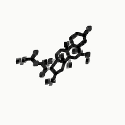 CC(=O)OCC(=O)[C@H]1C(C)C[C@H]2[C@@H]3CC(OF)C4=CC(=O)C=C[C@]4(C)[C@H]3CC[C@]12C